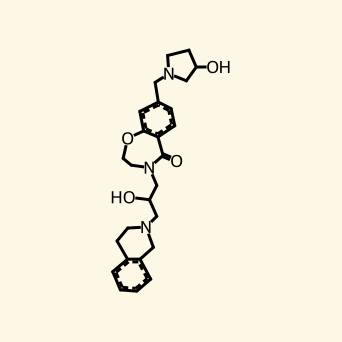 O=C1c2ccc(CN3CCC(O)C3)cc2OCCN1CC(O)CN1CCc2ccccc2C1